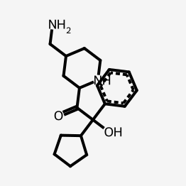 NCC1CCNC(C(=O)C(O)(c2ccccc2)C2CCCC2)C1